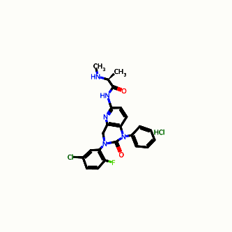 CN[C@@H](C)C(=O)Nc1ccc2c(n1)CN(c1cc(Cl)ccc1F)C(=O)N2c1ccccc1.Cl